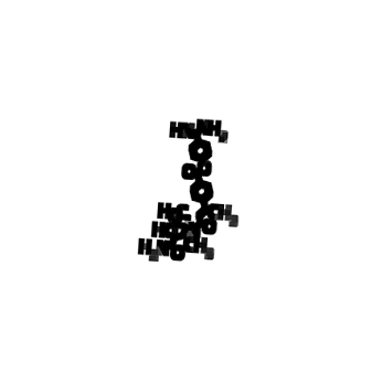 CCN(C(=O)/C=C(\C)c1ccc(C(=O)Oc2ccc(C(=N)N)cc2)cc1)[C@@](CC)(CCC(N)=O)C(=O)O